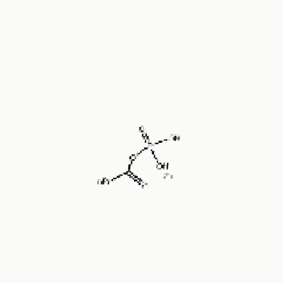 CCCC(=O)OP(=O)(O)O.[Zn]